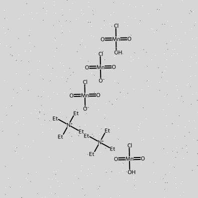 CC[N+](CC)(CC)CC.CC[N+](CC)(CC)CC.[O]=[Mn](=[O])([O-])[Cl].[O]=[Mn](=[O])([O-])[Cl].[O]=[Mn](=[O])([OH])[Cl].[O]=[Mn](=[O])([OH])[Cl]